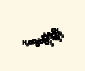 CCOC(=O)COc1ccc(SC(CN)C(C)C)cc1C